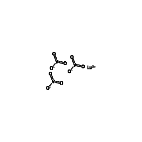 [Lu+3].[O]=[V](=[O])[O-].[O]=[V](=[O])[O-].[O]=[V](=[O])[O-]